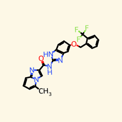 Cc1cccc2nc(C(=O)Nc3nc4cc(OCc5ccccc5C(F)(F)F)ccc4[nH]3)cn12